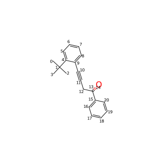 CC(C)(C)c1ccccc1C#CCC(=O)c1ccccc1